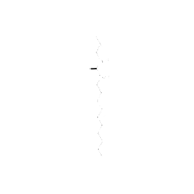 CCCCCCCCCCNC(=O)NCCC